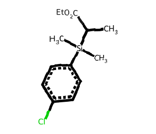 CCOC(=O)C(C)[Si](C)(C)c1ccc(Cl)cc1